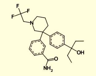 CCC(O)(CC)c1ccc(C2(c3cccc(C(N)=O)c3)CCCN(CC(F)(F)F)C2)cc1